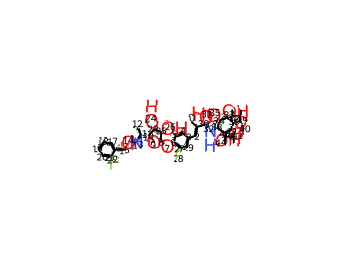 CC(=Cc1ccc(O[C@@H]2O[C@H](C(C)=NOCc3ccccc3F)[C@@H](O)[C@@H]2O)c(F)c1)C(=O)N[C@@H]1[C@H](O)[C@@H](O)[C@H]2OCO[C@H]2[C@@H]1O